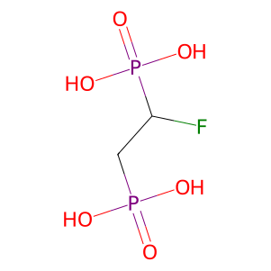 O=P(O)(O)CC(F)P(=O)(O)O